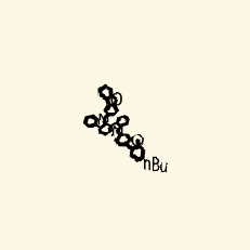 CCCCc1ccc2c(c1)oc1cc(-n3c4ccccc4c4c3ccc3c5ccccc5n(-c5ccc6oc7ccccc7c6c5)c34)ccc12